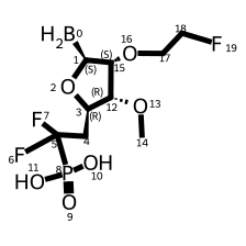 B[C@@H]1O[C@H](CC(F)(F)P(=O)(O)O)[C@@H](OC)[C@H]1OCCF